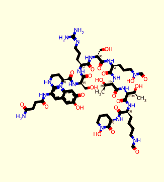 C[C@@H](O)[C@H](NC(=O)[C@H](CCCN(O)C=O)NC(=O)[C@@H](CO)NC(=O)[C@H](CCCN=C(N)N)NC(=O)[C@@H](CO)NC(=O)[C@@H]1CCNc2c(NC(=O)CCC(N)=O)cc3cc(O)c(=O)cc-3n21)C(=O)N[C@H](C(=O)N[C@@H](CCCCNC=O)C(=O)N[C@@H]1CCCN(O)C1=O)[C@@H](C)O